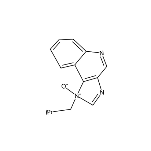 CC(C)C[N+]1([O-])C=Nc2cnc3ccccc3c21